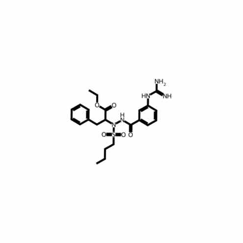 CCCCS(=O)(=O)N(NC(=O)c1cccc(NC(=N)N)c1)C(Cc1ccccc1)C(=O)OCC